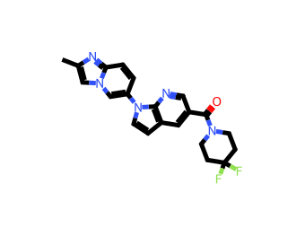 Cc1cn2cc(-n3ccc4cc(C(=O)N5CCC(F)(F)CC5)cnc43)ccc2n1